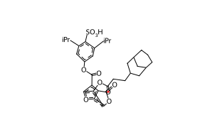 CC(C)c1cc(OC(=O)c2c3c4oc2c(OC(=O)CCC2CC5CCCC(C5)C2)c4OC3=O)cc(C(C)C)c1S(=O)(=O)O